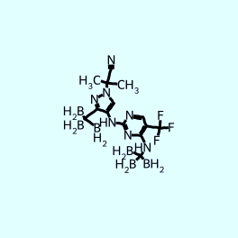 BC(B)(B)Nc1nc(Nc2cn(C(C)(C)C#N)nc2C(B)(B)B)ncc1C(F)(F)F